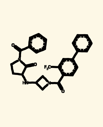 O=C(c1ccc(-c2ccccc2)cc1C(F)(F)F)N1CC(NC2CCN(C(=O)c3ccccc3)C2=O)C1